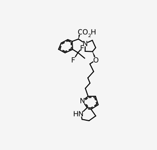 CC(F)(F)c1ccccc1[C@@H](C(=O)O)N1CC[C@@H](OCCCCCc2ccc3c(n2)NCCC3)C1